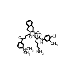 Cc1cc(NC(=O)[C@H](CCCCN)NC(=O)[C@@H]2Cc3ccccc3CN2C(=O)CCC(=O)c2cccc(N(C)C)c2)ccc1Cl